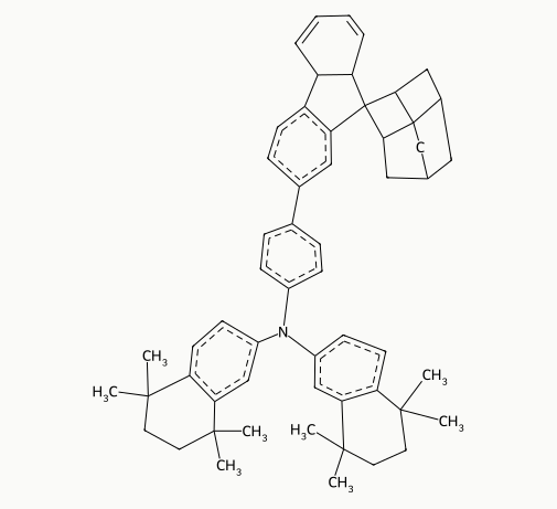 CC1(C)CCC(C)(C)c2cc(N(c3ccc(-c4ccc5c(c4)C4(C6C=CC=CC56)C5CC6CC7CC4C75C6)cc3)c3ccc4c(c3)C(C)(C)CCC4(C)C)ccc21